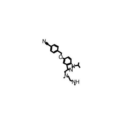 CNCCN(C)Cc1nn(C(C)C)c2ccc(OCc3ccc(C#N)cc3)cc12